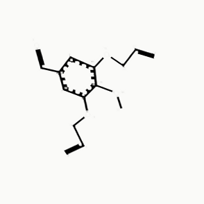 C=CCOc1cc(C=O)cc(OCC=C)c1OC